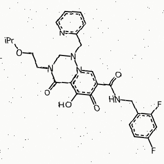 CC(C)OCCN1CN(Cc2ccccn2)n2cc(C(=O)NCc3ccc(F)cc3F)c(=O)c(O)c2C1=O